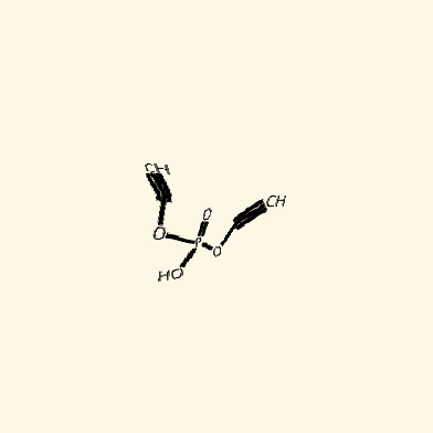 C#COP(=O)(O)OC#C